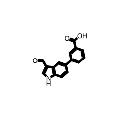 O=Cc1c[nH]c2ccc(-c3cccc(C(=O)O)c3)cc12